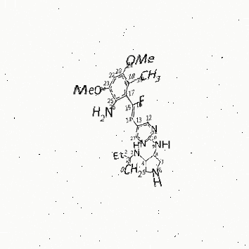 C=C(CC)NC1CNCC1Nc1ncc(/C=C(\F)c2c(C)c(OC)cc(OC)c2N)cn1